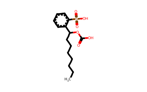 CCCCCCCC(OC(=O)O)c1ccccc1S(=O)(=O)O